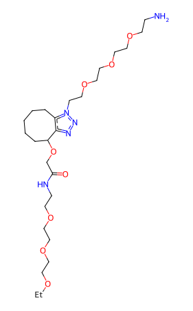 CCOCCOCCOCCNC(=O)COC1CCCCCc2c1nnn2CCOCCOCCOCCN